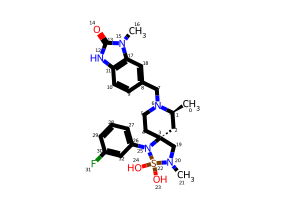 C[C@H]1C[C@]2(CCN1Cc1ccc3[nH]c(=O)n(C)c3c1)CN(C)S(O)(O)N2c1cccc(F)c1